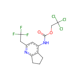 O=C(Nc1cc(CC(F)(F)F)nc2c1CCC2)OCC(Cl)(Cl)Cl